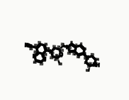 C[C@@H]1CN(c2ccc3cn(C[C@H]4CN(c5ccc(C#N)c6nccnc56)C[C@@H](C)O4)cc3c2)CCN1